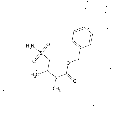 CC(CS(N)(=O)=O)N(C)C(=O)OCc1ccccc1